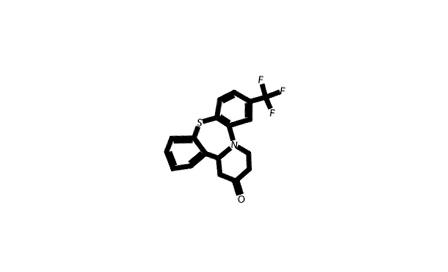 O=C1CCN2c3cc(C(F)(F)F)ccc3Sc3ccccc3C2C1